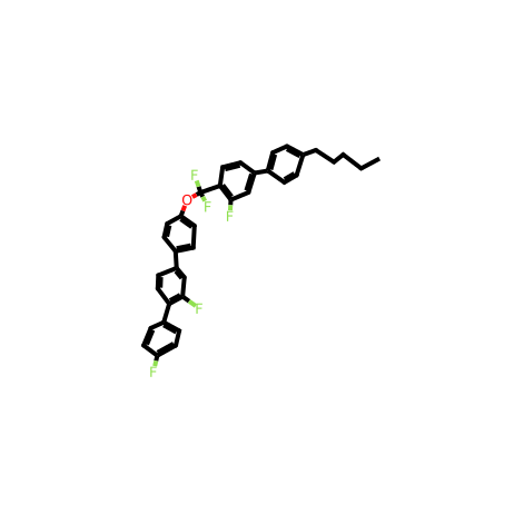 CCCCCc1ccc(-c2ccc(C(F)(F)Oc3ccc(-c4ccc(-c5ccc(F)cc5)c(F)c4)cc3)c(F)c2)cc1